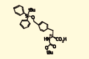 CC(C)(C)OC(=O)N[C@@H](Cc1ccc(CO[Si](c2ccccc2)(c2ccccc2)C(C)(C)C)cc1)C(=O)O